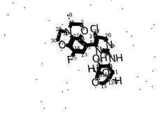 C[C@@H]1COc2c(-c3nc(N[C@@H]4C[C@H]5CO[C@H](O5)[C@H]4O)ncc3Cl)cc(F)c3c2N1CCO3